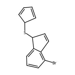 Brc1cccc2c1C=CC2SC1C=CC=C1